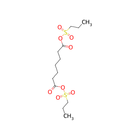 CCCS(=O)(=O)OC(=O)CCCCCC(=O)OS(=O)(=O)CCC